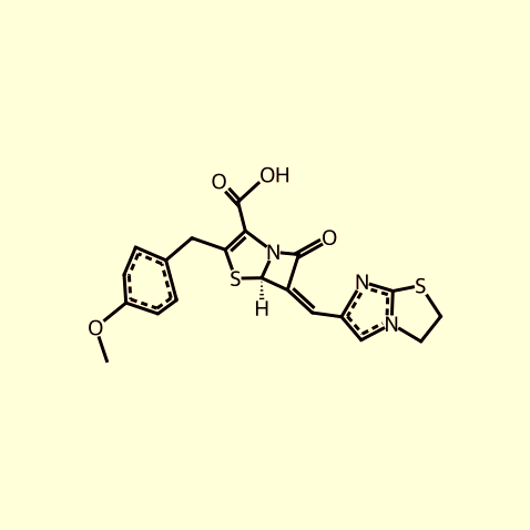 COc1ccc(CC2=C(C(=O)O)N3C(=O)C(=Cc4cn5c(n4)SCC5)[C@H]3S2)cc1